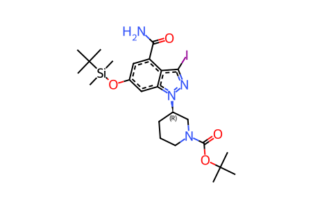 CC(C)(C)OC(=O)N1CCC[C@@H](n2nc(I)c3c(C(N)=O)cc(O[Si](C)(C)C(C)(C)C)cc32)C1